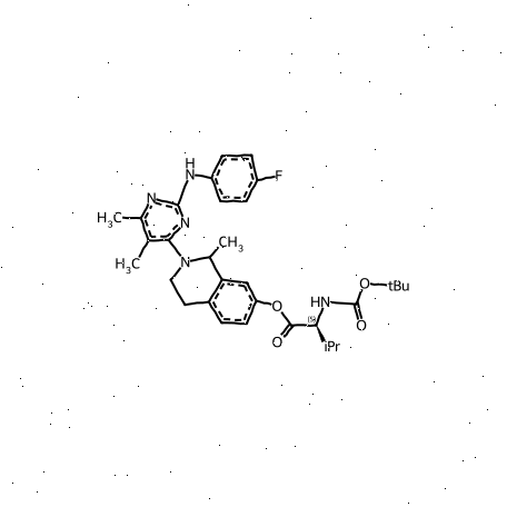 Cc1nc(Nc2ccc(F)cc2)nc(N2CCc3ccc(OC(=O)[C@@H](NC(=O)OC(C)(C)C)C(C)C)cc3C2C)c1C